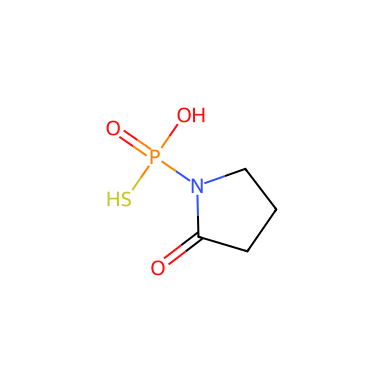 O=C1CCCN1P(=O)(O)S